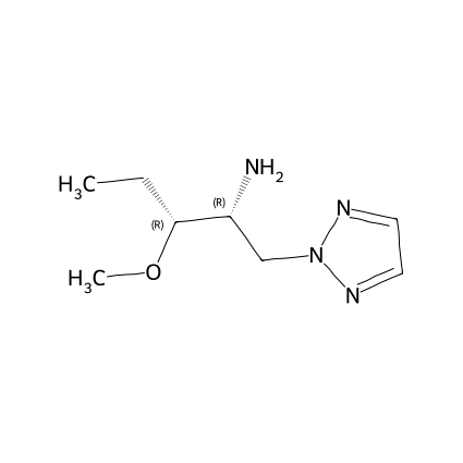 CC[C@@H](OC)[C@H](N)Cn1nccn1